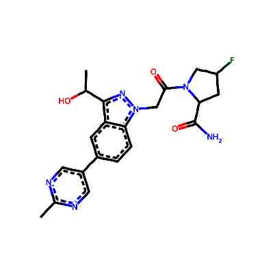 Cc1ncc(-c2ccc3c(c2)c(C(C)O)nn3CC(=O)N2CC(F)CC2C(N)=O)cn1